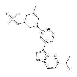 CCS(C)(=O)=NC1CC(C)CN(c2cc(-c3cnc4ccc(C(F)F)nn34)ncn2)C1